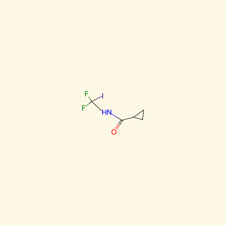 O=C(NCC(F)(F)I)C1CC1